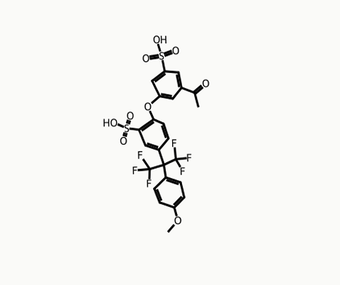 COc1ccc(C(c2ccc(Oc3cc(C(C)=O)cc(S(=O)(=O)O)c3)c(S(=O)(=O)O)c2)(C(F)(F)F)C(F)(F)F)cc1